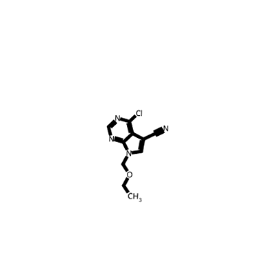 CCOCn1cc(C#N)c2c(Cl)ncnc21